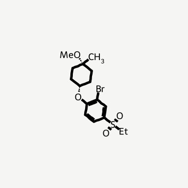 CCS(=O)(=O)c1ccc(O[C@H]2CC[C@@](C)(OC)CC2)c(Br)c1